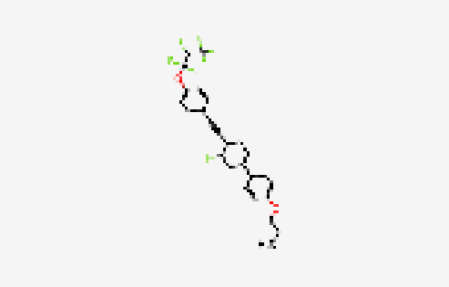 CCCOc1ccc(C2CCC(C#Cc3ccc(OC(F)(F)C(F)C(F)(F)F)cc3)C(F)C2)cc1